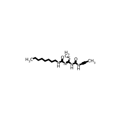 CC#CNC(=O)NC(=NC(=O)NCCCCCCCC)SC